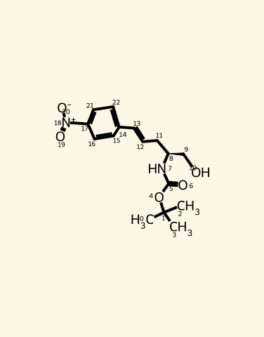 CC(C)(C)OC(=O)N[C@H](CO)CC=Cc1ccc([N+](=O)[O-])cc1